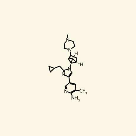 CN1CCN(C2C[C@@H]3[C@@H]4C2[C@@]34n2cc(-c3cnc(N)c(C(F)(F)F)c3)nc2CC2CC2)CC1